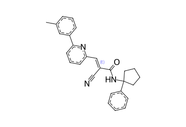 Cc1cccc(-c2cccc(/C=C(\C#N)C(=O)NC3(c4ccccc4)CCCC3)n2)c1